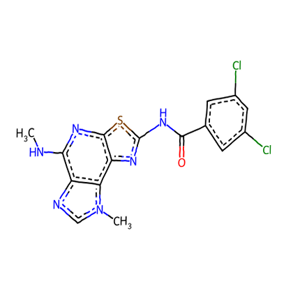 CNc1nc2sc(NC(=O)c3cc(Cl)cc(Cl)c3)nc2c2c1ncn2C